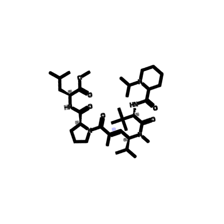 COC(=O)[C@H](CC(C)C)NC(=O)[C@@H]1CCCN1C(=O)/C(C)=C/[C@H](C(C)C)N(C)C(=O)[C@@H](NC(=O)C1CCCCN1C(C)C)C(C)(C)C